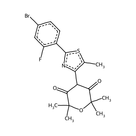 Cc1sc(-c2ccc(Br)cc2F)nc1C1C(=O)C(C)(C)OC(C)(C)C1=O